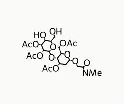 CNC(=O)CO[C@H]1C[C@@H](OC(C)=O)[C@H](O[C@@H]2O[C@H](CO)[C@H](O)[C@H](OC(C)=O)[C@H]2OC(C)=O)[C@@H](COC(C)=O)O1